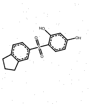 O=S(=O)(c1ccc2c(c1)CCC2)c1ccc(O)cc1O